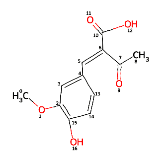 COc1cc(/C=C(\C(C)=O)C(=O)O)ccc1O